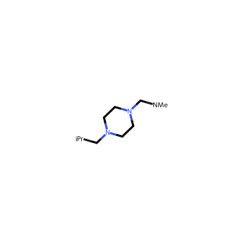 CNCN1CCN(CC(C)C)CC1